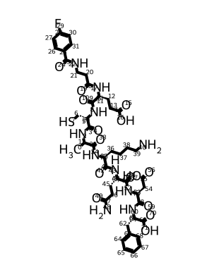 CC(NC(=O)[C@H](CS)NC(=O)[C@H](CCC(=O)O)NC(=O)CCNC(=O)c1ccc(F)cc1)C(=O)N[C@@H](CCCCN)C(=O)N[C@@H](CCC(N)=O)C(=O)N[C@@H](CC(=O)O)C(=O)N[C@@H](Cc1ccccc1)C(=O)O